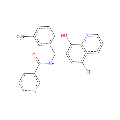 O=C(NC(c1cccc([N+](=O)[O-])c1)c1cc(Cl)c2cccnc2c1O)c1cccnc1